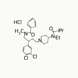 CCN(C(=O)C(C)C)C1CCN(CCC(CN(C)C(=O)c2ccccc2)c2ccc(Cl)c(Cl)c2)CC1.Cl